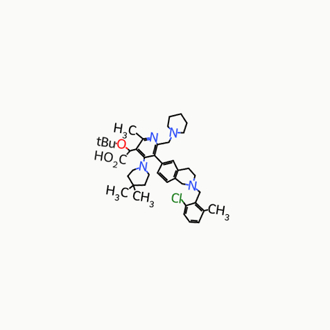 Cc1cccc(Cl)c1CN1CCc2cc(-c3c(CN4CCCCC4)nc(C)c(C(OC(C)(C)C)C(=O)O)c3N3CCC(C)(C)CC3)ccc2C1